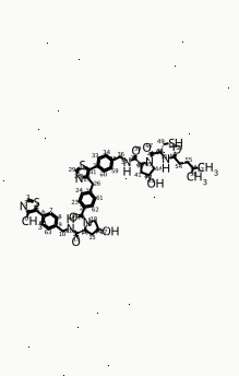 Cc1ncsc1-c1ccc(CNC(=O)[C@@H]2C[C@@H](O)CN2C(=O)c2ccc(Cc3ncsc3-c3ccc(CNC(=O)[C@@H]4C[C@@H](O)CN4C(=O)[C@H](CS)NC(=O)CCC(C)C)cc3)cc2)cc1